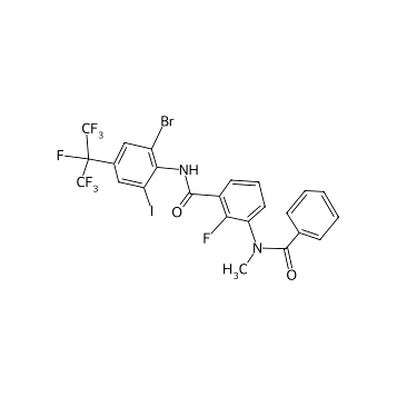 CN(C(=O)c1ccccc1)c1cccc(C(=O)Nc2c(Br)cc(C(F)(C(F)(F)F)C(F)(F)F)cc2I)c1F